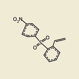 C=Cc1ccccc1S(=O)(=O)c1ccc([N+](=O)[O-])cc1